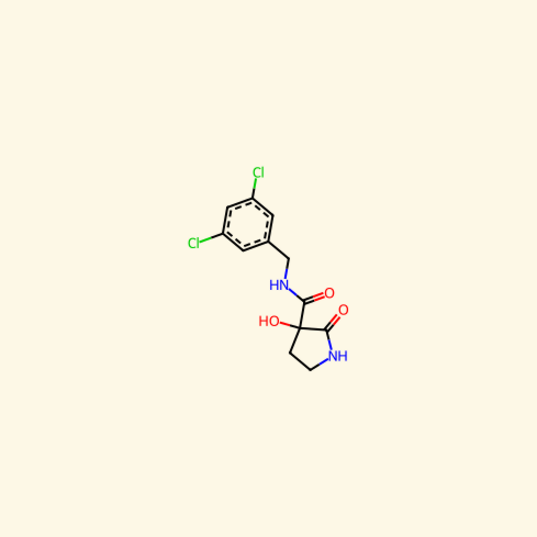 O=C1NCCC1(O)C(=O)NCc1cc(Cl)cc(Cl)c1